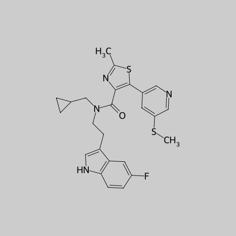 CSc1cncc(-c2sc(C)nc2C(=O)N(CCc2c[nH]c3ccc(F)cc23)CC2CC2)c1